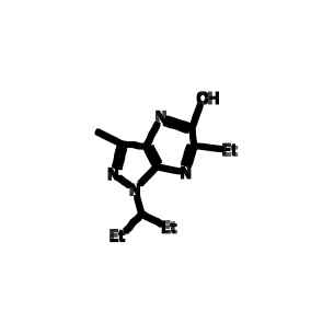 CCc1nc2c(nc1O)c(C)nn2C(CC)CC